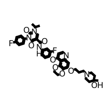 CC(C)n1cc(C(=O)Nc2ccc(Oc3ccnc4cc(OCCCN5CCC(C)(O)CC5)c5c(c34)OCCO5)c(F)c2)c(=O)n(-c2ccc(F)cc2)c1=O